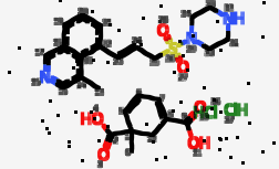 CC1(C(=O)O)C=CC=C(C(=O)O)C1.Cc1cncc2cccc(C=CCS(=O)(=O)N3CCNCC3)c12.Cl.Cl